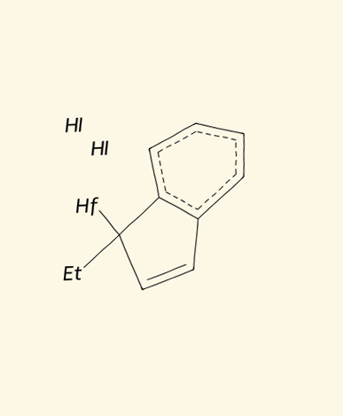 CC[C]1([Hf])C=Cc2ccccc21.I.I